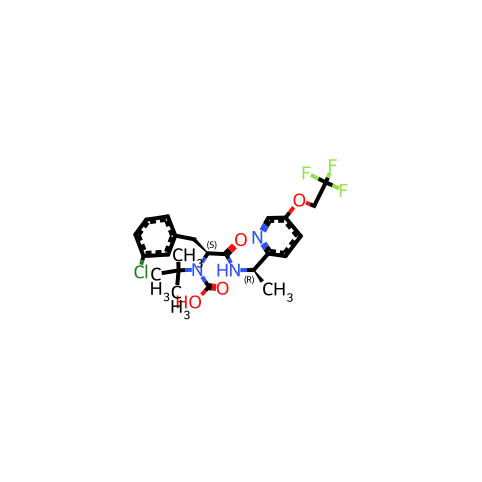 C[C@@H](NC(=O)[C@H](Cc1cccc(Cl)c1)N(C(=O)O)C(C)(C)C)c1ccc(OCC(F)(F)F)cn1